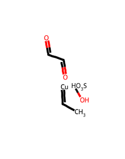 C[CH]=[Cu].O=CC=O.O=S(=O)(O)O